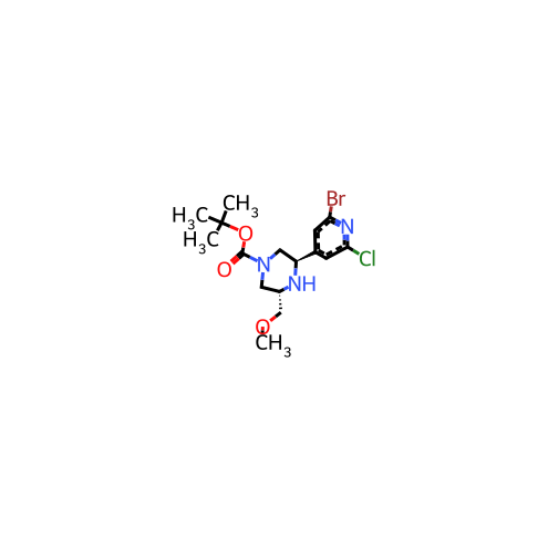 COC[C@@H]1CN(C(=O)OC(C)(C)C)C[C@@H](c2cc(Cl)nc(Br)c2)N1